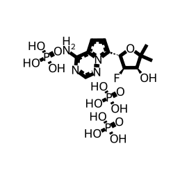 CC1(C)O[C@@H](c2ccc3c(N)ncnn23)[C@H](F)[C@@H]1O.O=P(O)(O)O.O=P(O)(O)O.O=P(O)(O)O